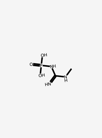 CNC(=N)NP(=O)(O)O